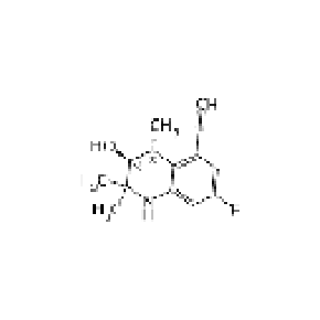 C#Cc1cc(F)cc2c1[C@@H](C)[C@H](O)C(C)(C)N2